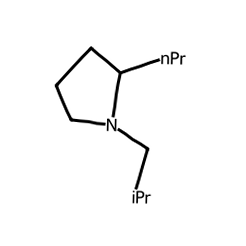 CCCC1CCCN1CC(C)C